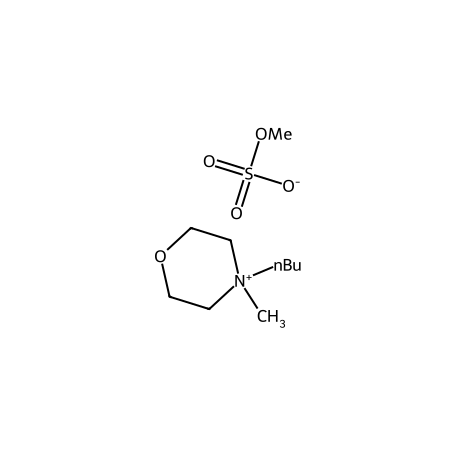 CCCC[N+]1(C)CCOCC1.COS(=O)(=O)[O-]